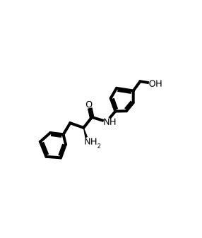 N[C@@H](Cc1ccccc1)C(=O)Nc1ccc(CO)cc1